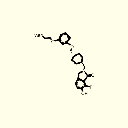 CNCCOc1cccc(OC[C@H]2CC[C@H](CN3Cc4ccc(O)c(F)c4C3=O)CC2)c1